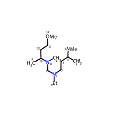 CCN(CCC(C)NC)CN(C)C(C)CCOC